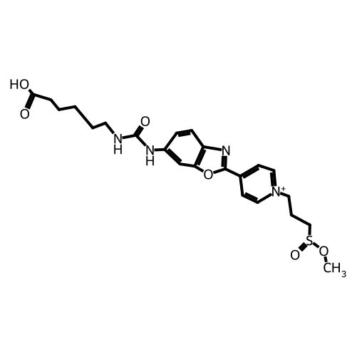 COS(=O)CCC[n+]1ccc(-c2nc3ccc(NC(=O)NCCCCCC(=O)O)cc3o2)cc1